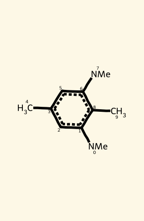 CNc1cc(C)cc(NC)c1C